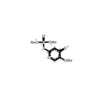 COc1coc(SP(=O)(OC)OC)cc1=O